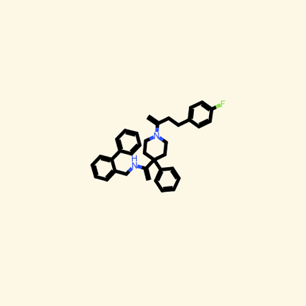 C=C(CCc1ccc(F)cc1)N1CCC(C(=C)NCc2ccccc2-c2ccccc2)(c2ccccc2)CC1